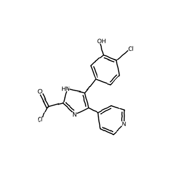 O=C(Cl)c1nc(-c2ccncc2)c(-c2ccc(Cl)c(O)c2)[nH]1